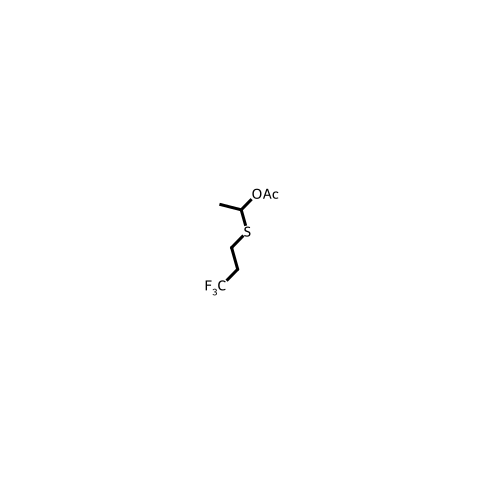 CC(=O)OC(C)SCCC(F)(F)F